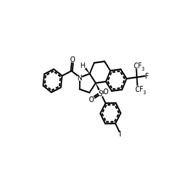 O=C(c1ccccc1)N1CC[C@@]2(S(=O)(=O)c3ccc(I)cc3)c3ccc(C(F)(C(F)(F)F)C(F)(F)F)cc3CC[C@@H]12